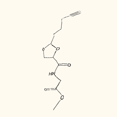 C#CCCCC1OCC(C(=O)NCC(=O)OC)O1